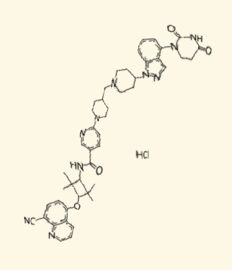 CC1(C)C(NC(=O)c2ccc(N3CCC(CN4CCC(n5ncc6c(N7CCC(=O)NC7=O)cccc65)CC4)CC3)nc2)C(C)(C)C1Oc1ccc(C#N)c2ncccc12.Cl